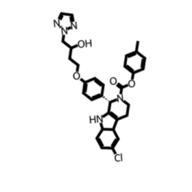 Cc1ccc(OC(=O)N2CCC3=C(NC4C=CC(Cl)=CC34)[C@@H]2c2ccc(OCCC(O)Cn3nccn3)cc2)cc1